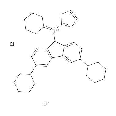 C1=CC[C]([Ti+2](=[C]2CCCCC2)[CH]2c3ccc(C4CCCCC4)cc3-c3cc(C4CCCCC4)ccc32)=C1.[Cl-].[Cl-]